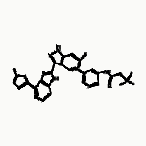 Cc1ccc(-c2nccc3[nH]c(-c4n[nH]c5cc(F)c(-c6cncc(NC(=O)CC(C)(C)C)c6)cc45)nc23)s1